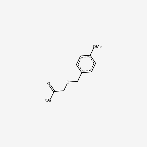 COc1ccc(COCC(=O)C(C)(C)C)cc1